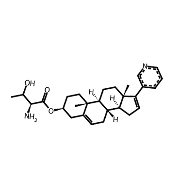 CC(O)[C@H](N)C(=O)O[C@H]1CC[C@@]2(C)C(=CC[C@@H]3[C@@H]2CC[C@]2(C)C(c4cccnc4)=CC[C@@H]32)C1